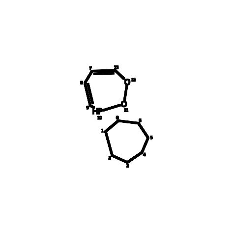 C1CCCCCC1.c1cc[pH]ooc1